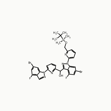 CC(C)(C)[Si](C)(C)OCc1cccc(-n2nc(C(O)c3cccc(-n4ncc5c(F)cc(Br)cc54)n3)c3c(F)cc(Br)cc32)n1